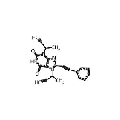 C#CC(C)n1c(C#Cc2ccccc2)nc2c1c(=O)[nH]c(=O)n2C(C)C#C